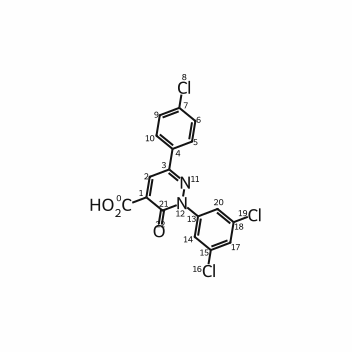 O=C(O)c1cc(-c2ccc(Cl)cc2)nn(-c2cc(Cl)cc(Cl)c2)c1=O